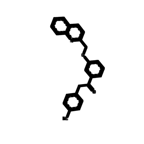 N#Cc1ccc(CC(=O)c2cccc(OCc3ccc4ccccc4n3)c2)cc1